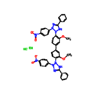 COc1cc(-c2ccc(N3NC(c4ccccc4)=NN3c3ccc([N+](=O)[O-])cc3)c(OC)c2)ccc1N1NC(c2ccccc2)=NN1c1ccc([N+](=O)[O-])cc1.Cl.Cl